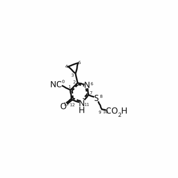 N#Cc1c(C2CC2)nc(SCC(=O)O)[nH]c1=O